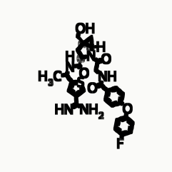 CC(NC(=O)[C@@H]1C[C@]2(CO)C[C@@H]2N1C(=O)CNC(=O)c1ccc(Oc2ccc(F)cc2)cc1)c1cc(C(=N)N)cs1